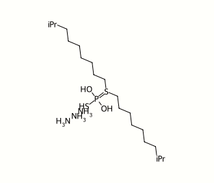 CC(C)CCCCCCCS(CCCCCCCC(C)C)=P(O)(O)S.N.N.N